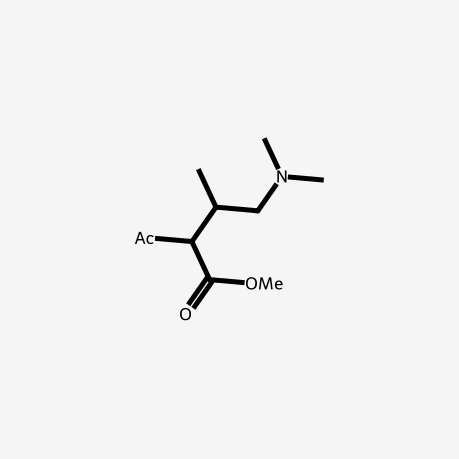 COC(=O)C(C(C)=O)C(C)CN(C)C